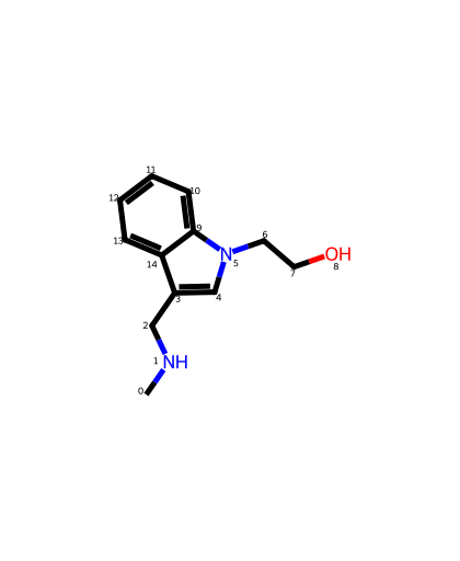 CNCc1cn(CCO)c2ccccc12